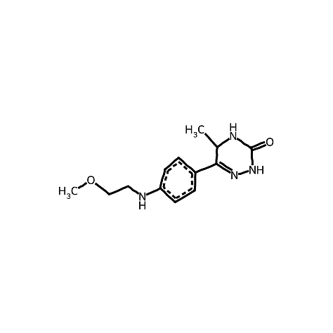 COCCNc1ccc(C2=NNC(=O)NC2C)cc1